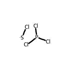 ClP(Cl)Cl.[S]Cl